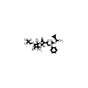 CC(OC(=O)N(CC(=O)C1C(=O)N2[C@@H]1SC(C)(CBr)C2(N)C(=O)OCC(Cl)(Cl)Cl)c1ccccc1)C1CC1